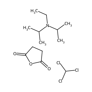 CCN(C(C)C)C(C)C.ClC(Cl)Cl.O=C1CCC(=O)O1